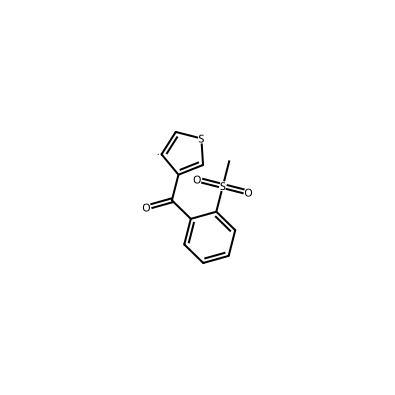 CS(=O)(=O)c1ccccc1C(=O)c1[c]csc1